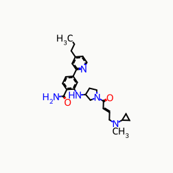 CCCc1ccnc(-c2ccc(C(N)=O)c(NC3CCN(C(=O)/C=C/CN(C)C4CC4)C3)c2)c1